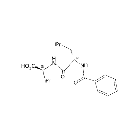 CC(C)C[C@H](NC(=O)c1ccccc1)C(=O)N[C@H](C(=O)O)C(C)C